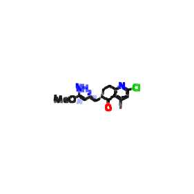 CO/C(N)=C/C=C/C1CCc2nc(Cl)cc(C)c2C1=O